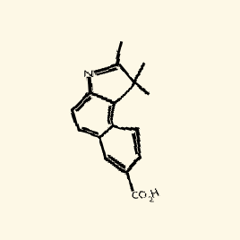 CC1=Nc2ccc3cc(C(=O)O)ccc3c2C1(C)C